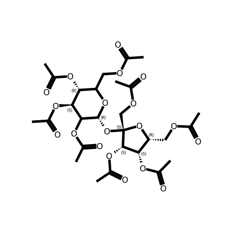 CC(=O)OCC1O[C@H](O[C@]2(COC(C)=O)O[C@H](COC(C)=O)[C@H](OC(C)=O)[C@@H]2OC(C)=O)C(OC(C)=O)[C@@H](OC(C)=O)[C@@H]1OC(C)=O